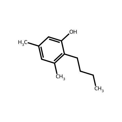 CCCCc1c(C)cc(C)cc1O